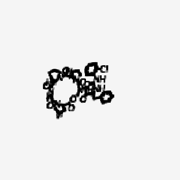 C[C@@H]1CC2C(=O)OC[C@H](NC(=O)[C@H](Cc3ccccc3)NC(=O)Nc3ccccc3Cl)C(=O)N3CCC[C@H]3C(=O)N3CCCC[C@H]3C(=O)N[C@@H](C)C(=O)N2C1